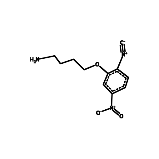 [C-]#[N+]c1ccc([N+](=O)[O-])cc1OCCCCN